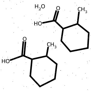 CC1CCCCC1C(=O)O.CC1CCCCC1C(=O)O.O